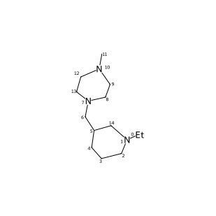 CCN1CCCC(CN2CCN(C)CC2)C1